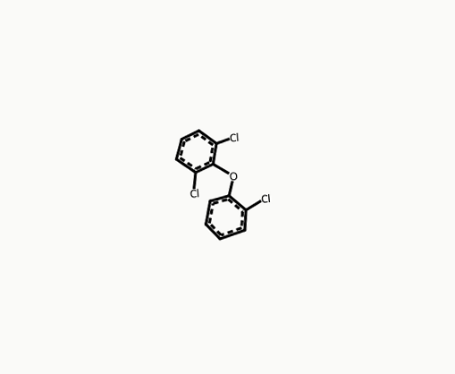 Clc1ccccc1Oc1c(Cl)cccc1Cl